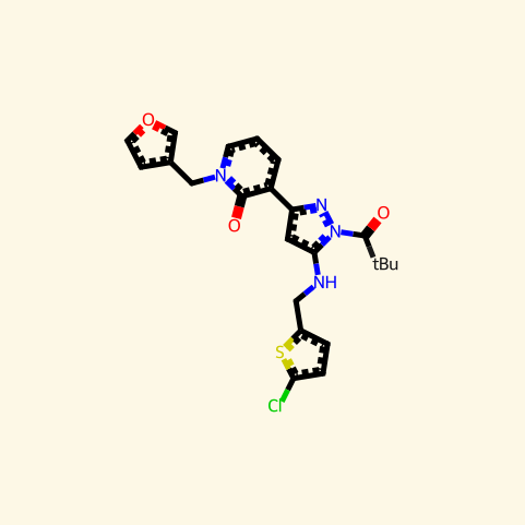 CC(C)(C)C(=O)n1nc(-c2cccn(Cc3ccoc3)c2=O)cc1NCc1ccc(Cl)s1